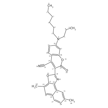 CCCCCCN(CCC)c1ccc2c(C#N)c(-c3nc4c(o3)c(C)cc3ccc(C)cc34)c(=O)oc2c1